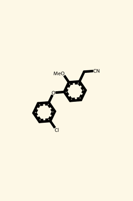 COc1c(CC#N)cccc1Oc1cccc(Cl)c1